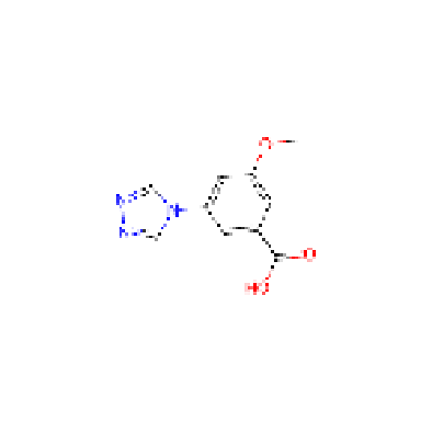 COc1cc(C(=O)O)cc(-n2cnnc2)c1